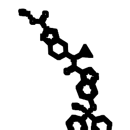 CC(C)(C)OC(=O)n1cc2c(n1)CCC(N(C(=O)c1csc3cc(O[Si](C4=CCCC=C4)(c4ccccc4)C(C)(C)C)ccc13)C1CC1)C2